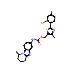 Cc1nc(-c2ccc(F)cc2Cl)sc1COC(=O)Nc1ccc2c(c1)nc1n2C(C)CCC1